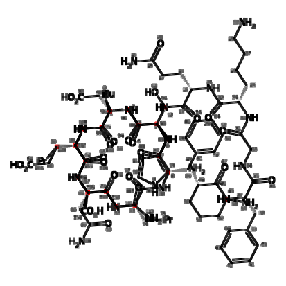 CC[C@H](C)[C@H](NC(=O)[C@H](Cc1c[nH]cn1)NC(=O)[C@H](CCC(N)=O)NC(=O)[C@H](CCCCN)NC(=O)CNC(=O)[C@H](Cc1ccccc1)NC(=O)[C@@H](N)CCCCN)C(=O)N[C@@H](CCC(=O)O)C(=O)N[C@@H](CC(N)=O)C(=O)N[C@@H](CC(C)C)C(=O)N[C@@H](Cc1ccccc1)C(=O)N[C@@H](CO)C(=O)N[C@@H](CC(=O)O)C(=O)N[C@@H](CC(C)C)C(=O)N[C@@H](CCC(N)=O)C(=O)O